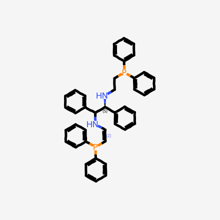 C(=C/P(c1ccccc1)c1ccccc1)/NC(c1ccccc1)[C@@H](NCCP(c1ccccc1)c1ccccc1)c1ccccc1